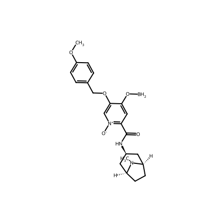 BOc1cc(C(=O)N[C@H]2C[C@H]3CC[C@@H](C2)N3C)[n+]([O-])cc1OCc1ccc(OC)cc1